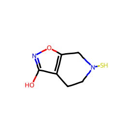 Oc1noc2c1CCN(S)C2